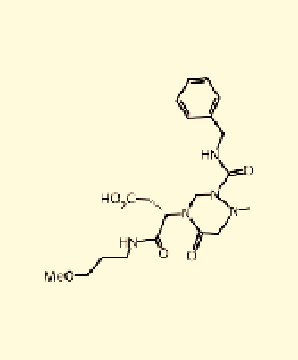 COCCCNC(=O)[C@H](CC(=O)O)N1CN(C(=O)NCc2ccccc2)N(C)CC1=O